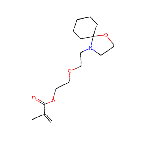 C=C(C)C(=O)OCCOCCN1CCOC12CCCCC2